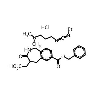 CCN=C=NCCCN(C)C.Cl.O=C(O)CC1Cc2cc(C(=O)OCc3ccccc3)ccc2CNC1=O